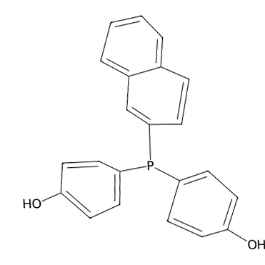 Oc1ccc(P(c2ccc(O)cc2)c2ccc3ccccc3c2)cc1